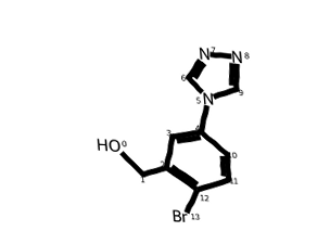 OCc1cc(-n2cnnc2)ccc1Br